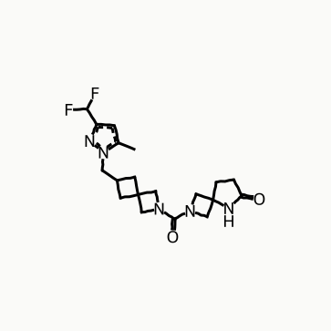 Cc1cc(C(F)F)nn1CC1CC2(C1)CN(C(=O)N1CC3(CCC(=O)N3)C1)C2